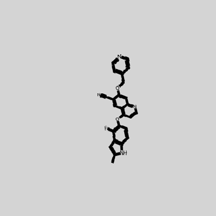 Cc1cc2c(F)c(Oc3ccnc4cc(OCc5ccncc5)c(C#N)cc34)ccc2[nH]1